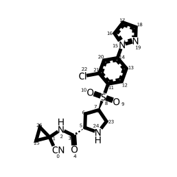 N#CC1(NC(=O)[C@@H]2C[C@@H](S(=O)(=O)c3ccc(-n4cccn4)cc3Cl)CN2)CC1